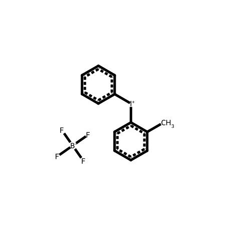 Cc1ccccc1[I+]c1ccccc1.F[B-](F)(F)F